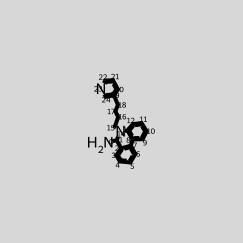 NC1c2ccccc2-c2ccccc2N1CCCCc1cccnc1